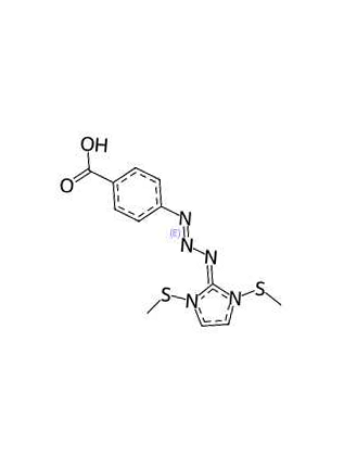 CSn1ccn(SC)c1=N/N=N/c1ccc(C(=O)O)cc1